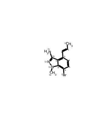 CC=Cc1ccc(Br)c2c1c(N)nn2C